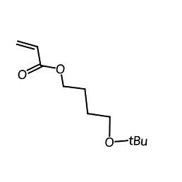 C=CC(=O)OCCCCOC(C)(C)C